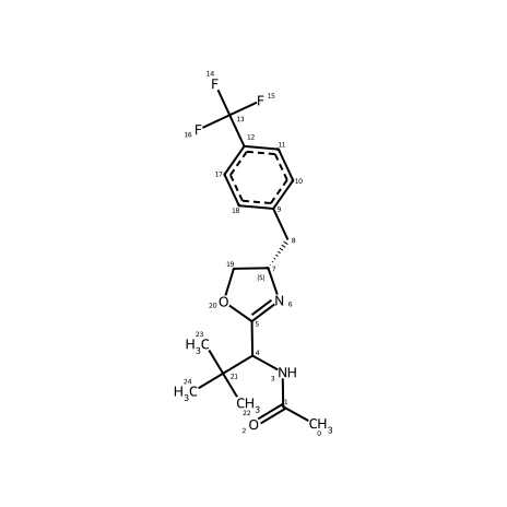 CC(=O)NC(C1=N[C@@H](Cc2ccc(C(F)(F)F)cc2)CO1)C(C)(C)C